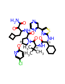 CC(C)(C)[C@H](NC(=O)[C@@H](Nc1nc(-c2cnccn2)cs1)C1CCCCC1)C(=O)N1C[C@H](Oc2ccc(Cl)cn2)CC1C(=O)NC(CC1CCC1)C(=O)C(N)=O